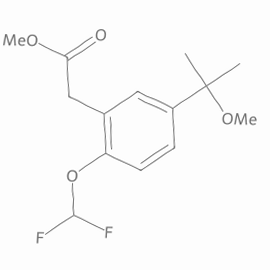 COC(=O)Cc1cc(C(C)(C)OC)ccc1OC(F)F